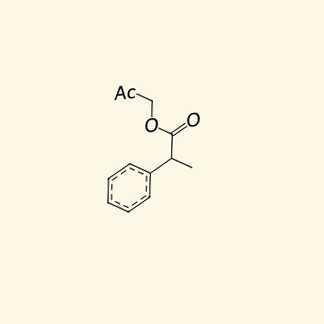 CC(=O)COC(=O)C(C)c1ccccc1